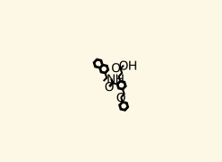 CC(NC(=O)c1cc(COc2ccccc2)ccc1CCC(=O)O)c1ccc2ccccc2c1